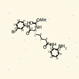 COC(=O)N[C@H](CCCCC(=O)Nc1ccccc1N)C(=O)Nc1cccc(Br)c1